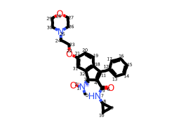 C/[N+]([O-])=C1\C(C(=O)NC2CC2)=C(c2ccccc2)c2ccc(OCCN3CCOCC3)cc21